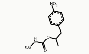 CC(Cc1ccc([N+](=O)[O-])cc1)OC(=O)NC(C)(C)C